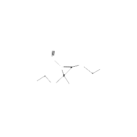 CCOC1N(P=O)C1(C)OCC